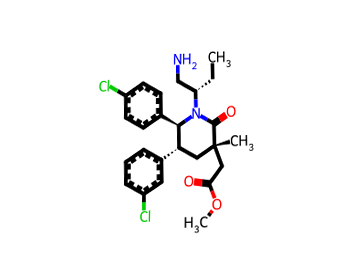 CC[C@@H](CN)N1C(=O)[C@](C)(CC(=O)OC)C[C@H](c2cccc(Cl)c2)[C@H]1c1ccc(Cl)cc1